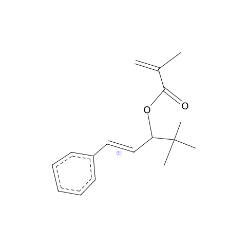 C=C(C)C(=O)OC(/C=C/c1ccccc1)C(C)(C)C